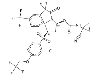 N#CC1(NC(=O)O[C@H]2C[C@@H](S(=O)(=O)c3ccc(OCC(F)(F)F)cc3Cl)CN2C(=O)C2(c3cccc(C(F)(F)F)c3)CC2)CC1